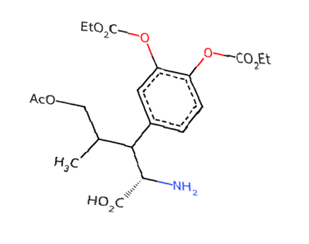 CCOC(=O)Oc1ccc(C(C(C)COC(C)=O)[C@H](N)C(=O)O)cc1OC(=O)OCC